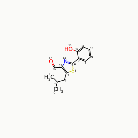 CC(C)Cc1sc(-c2ccccc2O)nc1C=O